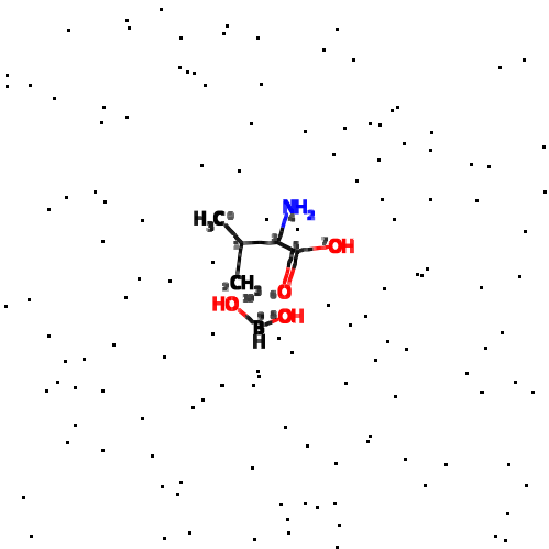 CC(C)C(N)C(=O)O.OBO